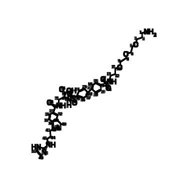 NCCCOCCOCCOCCCNS(=O)(=O)c1ccc(-c2ccc(S(=O)(=O)NC(CNC(=O)c3ccc4c(cnn4CCCNc4ncc[nH]4)c3)C(=O)O)cc2)cc1